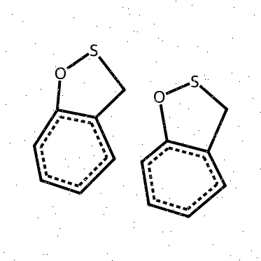 c1ccc2c(c1)CSO2.c1ccc2c(c1)CSO2